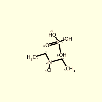 CCN(Cl)CC.O=P(O)(O)O